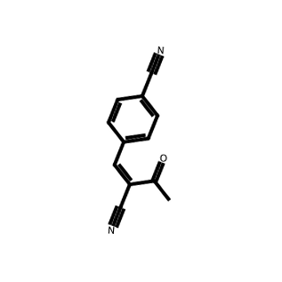 CC(=O)/C(C#N)=C\c1ccc(C#N)cc1